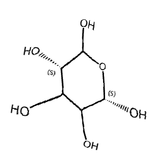 OC1O[C@H](O)C(O)C(O)[C@@H]1O